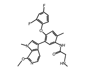 CNCC(=O)Nc1cc(-c2cn(C)c3c(OC)nccc23)c(Oc2ccc(F)cc2F)cc1C